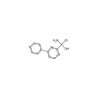 CCC(N)(O)c1nccc(-c2ccncc2)n1